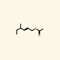 CCC(C)C=CCOC(C)=O